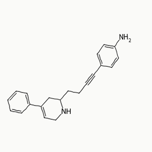 Nc1ccc(C#CCCC2CC(c3ccccc3)=CCN2)cc1